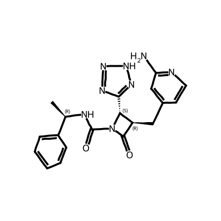 C[C@@H](NC(=O)N1C(=O)[C@H](Cc2ccnc(N)c2)[C@H]1c1nn[nH]n1)c1ccccc1